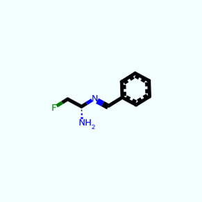 N[C@H](CF)/N=C/c1ccccc1